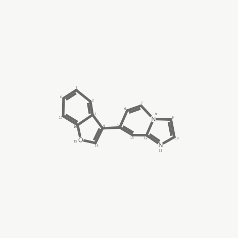 c1ccc2c(-c3ccn4ccnc4c3)coc2c1